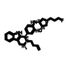 C=CCCN1[C@H](c2ccc(N[C@H]3CN(CCCF)C[C@@H]3O)cc2)c2[nH]c3ccccc3c2C[C@H]1C